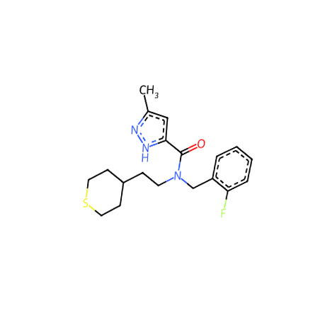 Cc1cc(C(=O)N(CCC2CCSCC2)Cc2ccccc2F)[nH]n1